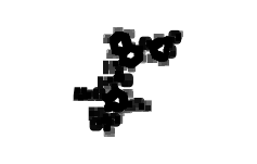 COc1c(NC(=O)Nc2ccc(Oc3ccoc(=O)c3)c3ccccc23)cc(C(C)(C)C)cc1NS(C)(=O)=O